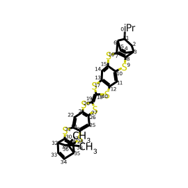 CC(C)C1CC2C=CC1C1=C2Sc2cc3c(cc2S1)S/C(=C1\Sc2cc4c(cc2S1)SC1=C(S4)C2C=CC1C(C)(C)C2)S3